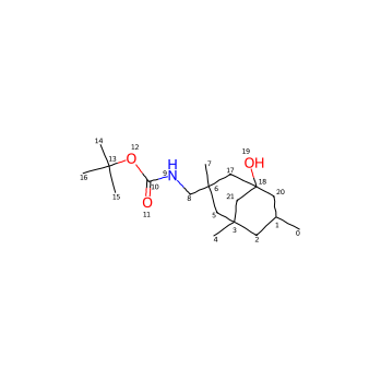 CC1CC2(C)CC(C)(CNC(=O)OC(C)(C)C)CC(O)(C1)C2